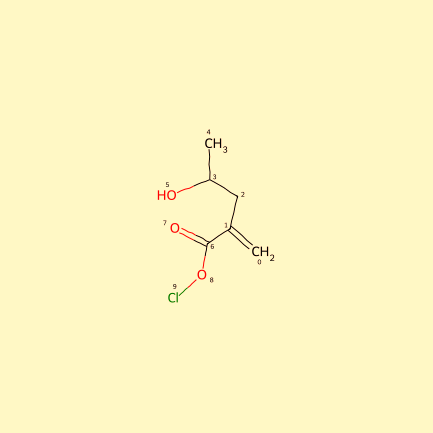 C=C(CC(C)O)C(=O)OCl